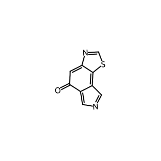 O=C1C=c2ncsc2=C2C=NC=C12